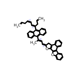 C=CC/C=C\C=C(/CC=C)c1c2ccccc2c(/C(C)=C/C=C2\Cc3c(c4oc5ccccc5c4c4ccccc34)O2)c2ccccc12